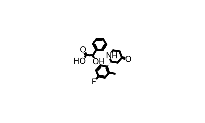 Cc1cc(F)ccc1[C@H]1CC(=O)CCN1.O=C(O)C(O)c1ccccc1